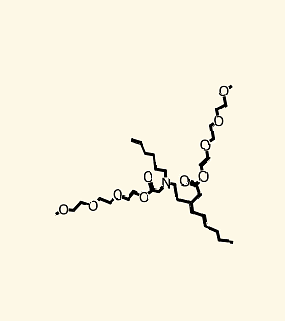 CCCCCCC(CCN(CCCCCC)CC(=O)OCCOCCOCCOC)CC(=O)OCCOCCOCCOC